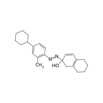 Cc1cc(C2CCCCC2)ccc1N=NC1(O)C=CC2=C(CCCC2)C1